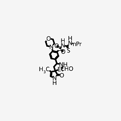 CCCNC(=S)NS(=O)(=O)c1cc(C(CC2(CC)C(=O)NC=C2C)NC=O)ccc1N1CCOCC1